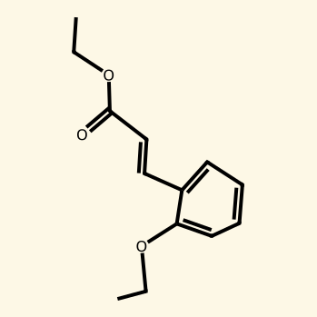 CCOC(=O)C=Cc1ccccc1OCC